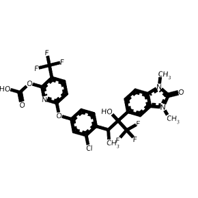 CC(c1ccc(Oc2ccc(C(F)(F)F)c(OC(=O)O)n2)cc1Cl)C(O)(c1ccc2c(c1)n(C)c(=O)n2C)C(F)(F)F